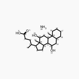 CC(CCC(=O)O)C1CCC2C3C(O)CC4CCCCC4(C)C3CC(O)C12C.N